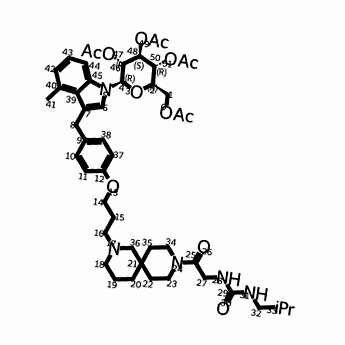 CC(=O)OC[C@H]1O[C@@H](n2cc(Cc3ccc(OCCCN4CCCC5(CCN(C(=O)CNC(=O)NCC(C)C)CC5)C4)cc3)c3c(C)cccc32)[C@H](OC(C)=O)[C@@H](OC(C)=O)[C@@H]1OC(C)=O